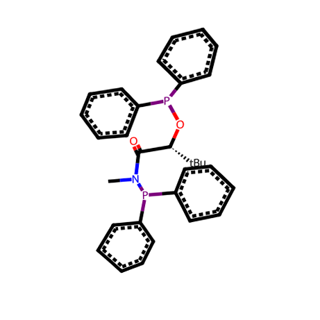 CN(C(=O)[C@H](OP(c1ccccc1)c1ccccc1)C(C)(C)C)P(c1ccccc1)c1ccccc1